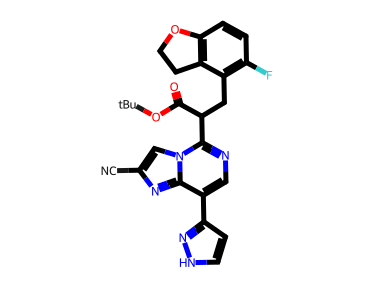 CC(C)(C)OC(=O)C(Cc1c(F)ccc2c1CCO2)c1ncc(-c2cc[nH]n2)c2nc(C#N)cn12